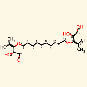 CC(C)=C(OCCCCCCCCCCOC(=C(C)C)C(O)CO)C(O)CO